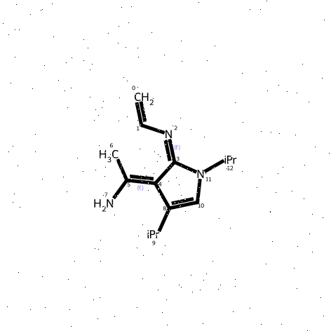 C=C/N=C1\C(=C(/C)N)C(C(C)C)=CN1C(C)C